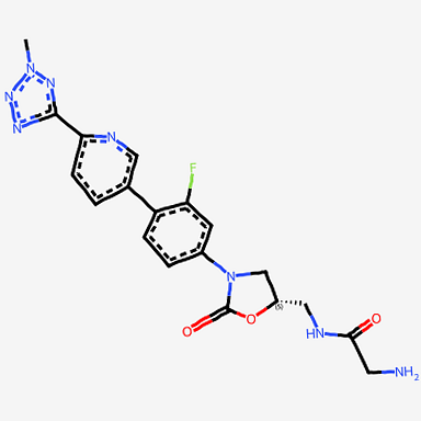 Cn1nnc(-c2ccc(-c3ccc(N4C[C@H](CNC(=O)CN)OC4=O)cc3F)cn2)n1